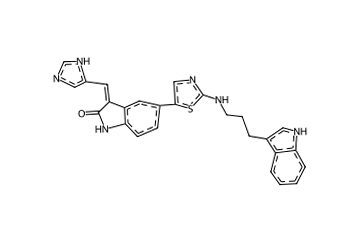 O=C1Nc2ccc(-c3cnc(NCCCc4c[nH]c5ccccc45)s3)cc2/C1=C/c1cnc[nH]1